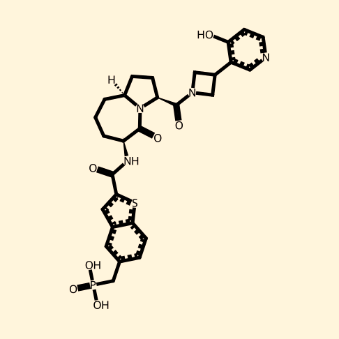 O=C(N[C@H]1CCC[C@H]2CC[C@@H](C(=O)N3CC(c4cnccc4O)C3)N2C1=O)c1cc2cc(CP(=O)(O)O)ccc2s1